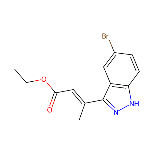 CCOC(=O)C=C(C)c1n[nH]c2ccc(Br)cc12